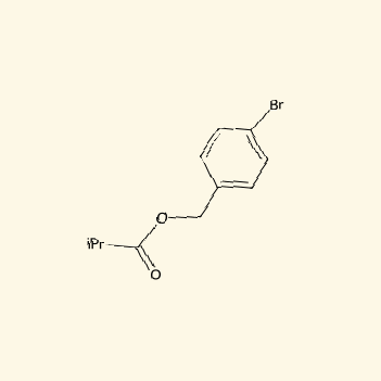 CC(C)C(=O)OCc1ccc(Br)cc1